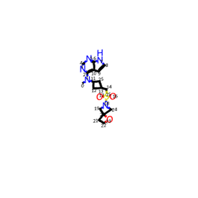 CN(c1ncnc2[nH]ccc12)C1CC(CS(=O)(=O)N2CC3(CCO3)C2)C1